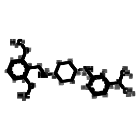 COc1cccc(OC)c1CN[C@H]1CC[C@@H](Nc2nccc(N(C)C)n2)CC1